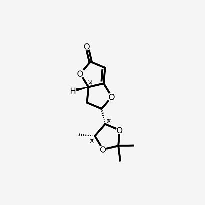 C[C@H]1OC(C)(C)O[C@H]1C1C[C@@H]2OC(=O)C=C2O1